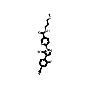 COCCCNC(=O)c1ccc(-n2ncc(-c3ccc(C#N)cc3F)c2O)nc1